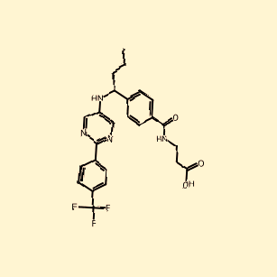 CCC[C@H](Nc1cnc(-c2ccc(C(F)(F)F)cc2)nc1)c1ccc(C(=O)NCCC(=O)O)cc1